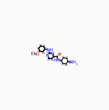 CCOc1cccc(Nc2nccc(C(=O)NC3CCC(N)CC3)n2)c1